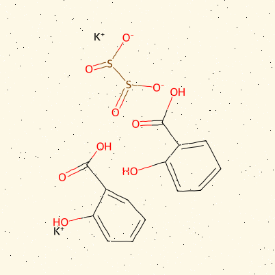 O=C(O)c1ccccc1O.O=C(O)c1ccccc1O.O=S([O-])S(=O)[O-].[K+].[K+]